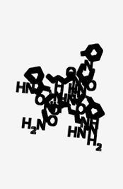 CCCCC(=O)NC1(C(=O)N[C@H](Cc2ccccc2)C(=O)N[C@@H](CCCNC(=N)N)C(=O)N[C@@H](Cc2c[nH]c3ccccc23)C(=O)NCC(N)=O)CCN(c2ccccc2C)CC1